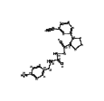 N#Cc1cccc(N2CCCN2C(=O)CNC(=O)NCc2ccc(N)cc2)c1